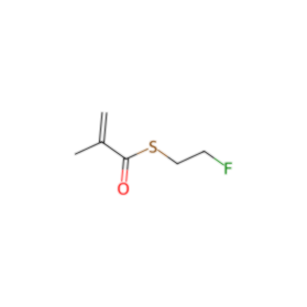 C=C(C)C(=O)SCCF